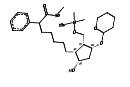 C[Se]C(=O)C(CCCCC[C@@H]1[C@H](CO[Si](C)(C)C(C)(C)C)[C@H](OC2CCCCO2)C[C@@H]1O)c1ccccc1